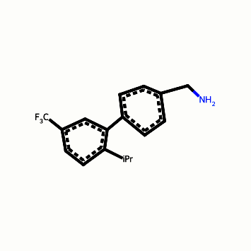 CC(C)c1ccc(C(F)(F)F)cc1-c1ccc(CN)cc1